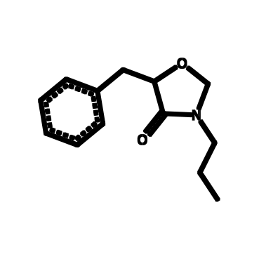 CCCN1COC(Cc2ccccc2)C1=O